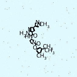 Cc1cc(OC(=O)N2CC[C@@H](NC(=O)c3cc(-c4cnn(C)c4)cnc3N)C2)cc(C(C)C)c1